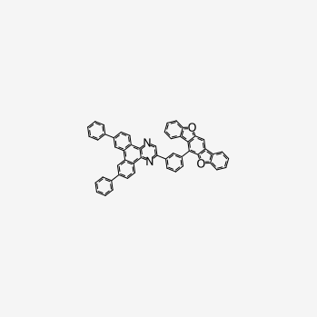 c1ccc(-c2ccc3c(c2)c2cc(-c4ccccc4)ccc2c2nc(-c4cccc(-c5c6oc7ccccc7c6cc6oc7ccccc7c56)c4)cnc32)cc1